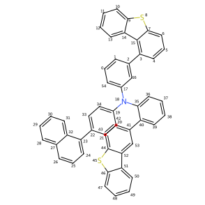 c1cc(-c2cccc3sc4ccccc4c23)cc(N(c2ccc(-c3cccc4ccccc34)cc2)c2ccccc2-c2ccc3sc4ccccc4c3c2)c1